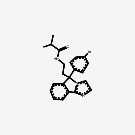 CC(C)C(=O)NCCC1(c2ccc(Br)cc2)c2ccccc2-c2nccn21